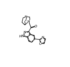 O=C(c1n[nH]c2ccc(-c3ncco3)cc12)N1CCN2CCC1CC2